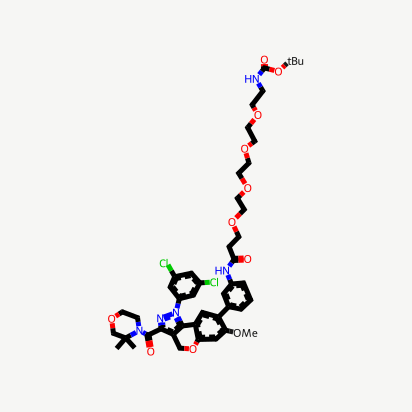 COc1cc2c(cc1-c1cccc(NC(=O)CCOCCOCCOCCOCCNC(=O)OC(C)(C)C)c1)-c1c(c(C(=O)N3CCOCC3(C)C)nn1-c1cc(Cl)cc(Cl)c1)CO2